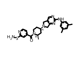 Cc1cc(C)cc(Nc2ncc3c(n2)CN([C@@H]2CCN(C(=O)c4ccnc(SN)c4)[C@H](C)C2)C3)c1